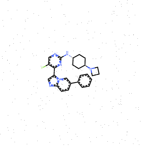 Fc1cnc(N[C@H]2CC[C@H](N3CCC3)CC2)nc1-c1cnc2ccc(-c3ccccc3)cn12